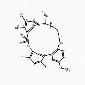 O=S1(=O)Nc2cc(c(F)cc2F)-c2cc(OC(F)(F)F)ccc2OCCNC(O)c2cc(Cl)c(O)c1c2